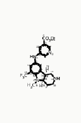 CCOC(=O)c1cncc(Nc2cc3c(c(C(F)(F)F)c2)N(C)[C@@H]2CCNC[C@H]32)c1